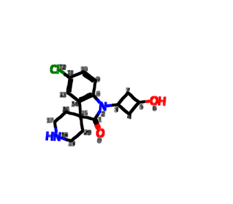 O=C1N(C2CC(O)C2)c2ccc(Cl)cc2C12CCNCC2